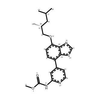 COC(=O)Nc1cc(-c2ccc(OC[C@H](C)CC(C)C)c3ncsc23)ccn1